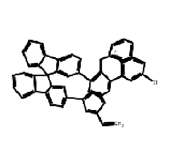 C=Cc1cccc(-c2ccc3c(c2)C2(c4ccccc4-3)c3ccccc3-c3ccc(-c4cccc(-c5cc(Cl)ccc5C)c4Cc4ccccc4)cc32)c1